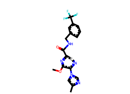 COc1nc(C(=O)NCc2cccc(C(F)(F)F)c2)cnc1-n1cnc(C)c1